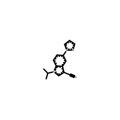 CC(C)n1cc(C#N)c2cc(-n3cccn3)ccc21